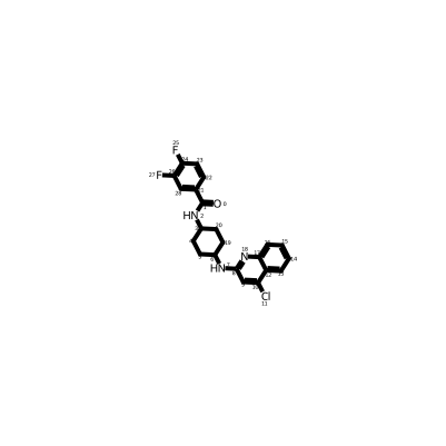 O=C(NC1CCC(Nc2cc(Cl)c3ccccc3n2)CC1)c1ccc(F)c(F)c1